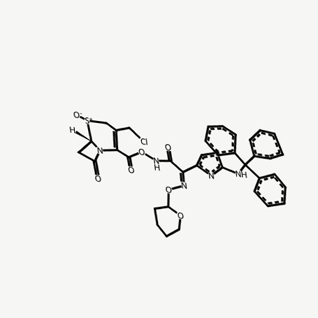 O=C(NOC(=O)C1=C(CCl)C[S+]([O-])[C@H]2CC(=O)N12)C(=NOC1CCCCO1)c1csc(NC(c2ccccc2)(c2ccccc2)c2ccccc2)n1